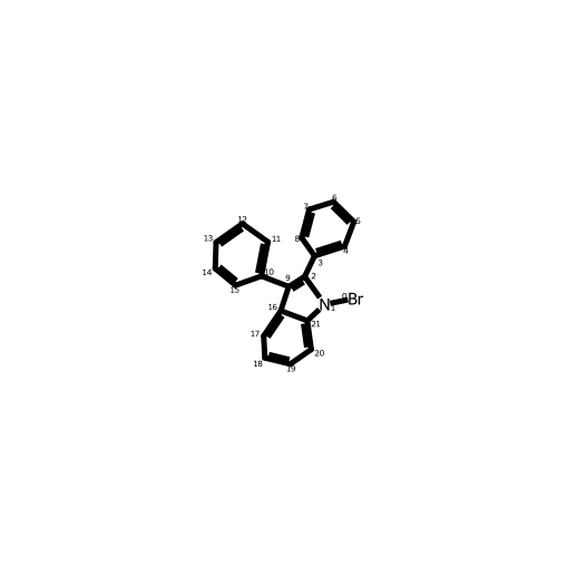 Brn1c(-c2ccccc2)c(-c2ccccc2)c2ccccc21